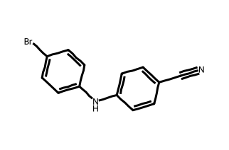 N#Cc1ccc(Nc2ccc(Br)cc2)cc1